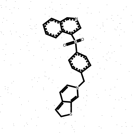 O=S(=O)(c1ccc(CN2C=CC3=CCSC3=C2)cc1)c1cncc2ccccc12